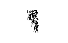 C[C@@H]1CN(c2ccc(Nc3nccc4cc[nH]c(=O)c34)cc2F)CCO1